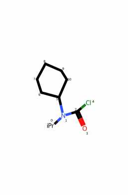 CC(C)N(C(=O)Cl)C1CCCCC1